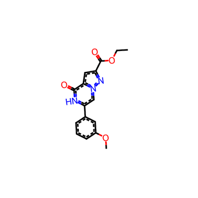 CCOC(=O)c1cc2c(=O)[nH]c(-c3cccc(OC)c3)cn2n1